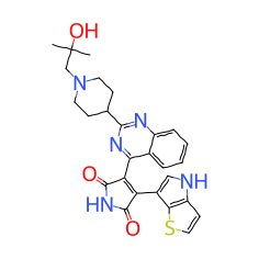 CC(C)(O)CN1CCC(c2nc(C3=C(c4c[nH]c5ccsc45)C(=O)NC3=O)c3ccccc3n2)CC1